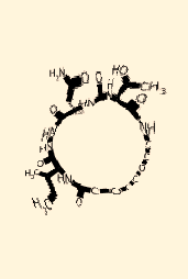 CCC(C)C1NC(=O)COCCOCCNC(=O)C(C(C)O)NC(=O)N[C@@H](CC(N)=O)C(=O)NNC1=O